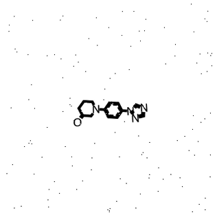 O=C1CCCN(c2ccc(-n3cncn3)cc2)C1